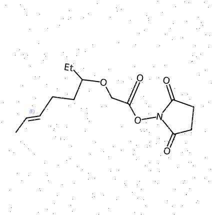 C/C=C/CCC(CC)OCC(=O)ON1C(=O)CCC1=O